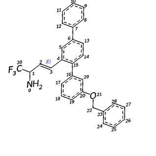 NC(/C=C/c1cc(-c2ccccc2)ccc1-c1cccc(OCc2ccccc2)c1)C(F)(F)F